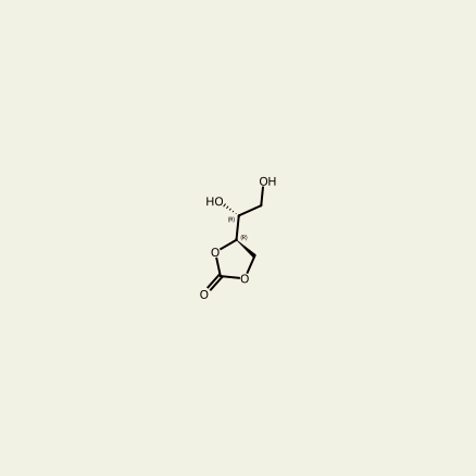 O=C1OC[C@H]([C@H](O)CO)O1